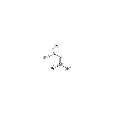 CC(C)N(C=[N+](C(C)C)C(C)C)C(C)C